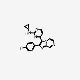 Fc1ccc(-c2nc3cnccn3c2-c2ccnc(NC3CC3)n2)cc1